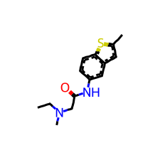 CCN(C)CC(=O)Nc1ccc2sc(C)cc2c1